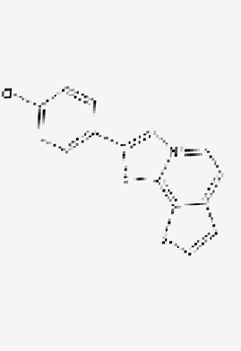 Clc1ccc(-c2c[n+]3ccc4ccsc4c3s2)cc1